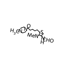 CNC1C(NC=O)CSC1CCCCC(=O)N1CCN(C)CC1